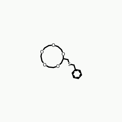 c1ccc(CSCC2COCCOCCOCCOCCO2)cc1